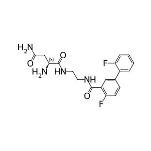 NC(=O)C[C@H](N)C(=O)NCCNC(=O)c1cc(-c2ccccc2F)ccc1F